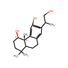 CC(CO)c1cc2c(cc1O)[C@]1(C)C(CC2)C(C)(C)CC[C@H]1O